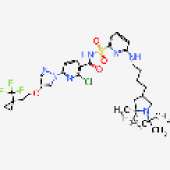 CC(C)(C)N1CC(CCCCNc2cccc(S(=O)(=O)NC(=O)c3ccc(-n4cc(OCCC5(C(F)(F)F)CC5)cn4)nc3Cl)n2)CC1(C)C